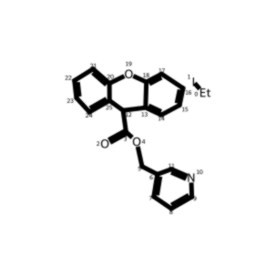 CCI.O=C(OCc1cccnc1)C1c2ccccc2Oc2ccccc21